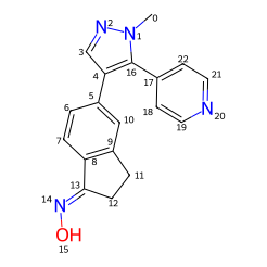 Cn1ncc(-c2ccc3c(c2)CCC3=NO)c1-c1ccncc1